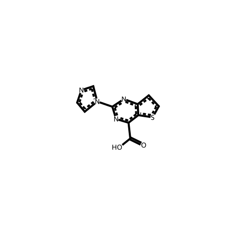 O=C(O)c1nc(-n2ccnc2)nc2ccsc12